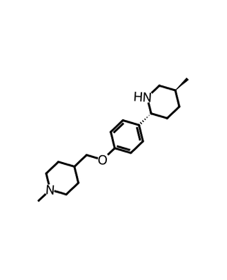 C[C@H]1CC[C@H](c2ccc(OCC3CCN(C)CC3)cc2)NC1